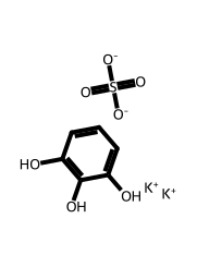 O=S(=O)([O-])[O-].Oc1cccc(O)c1O.[K+].[K+]